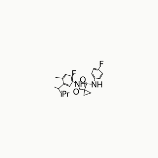 Cc1cc(F)c(NC(=O)C2(C(=O)Nc3ccc(F)cc3)CC2)cc1C(C)C(C)C